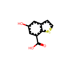 O=C(O)c1cc(O)cc2ccsc12